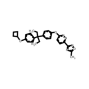 CCC(CC)(c1ccc(Oc2ccc(-c3noc(C)n3)nn2)cc1)c1ccc(OC2CCC2)cc1